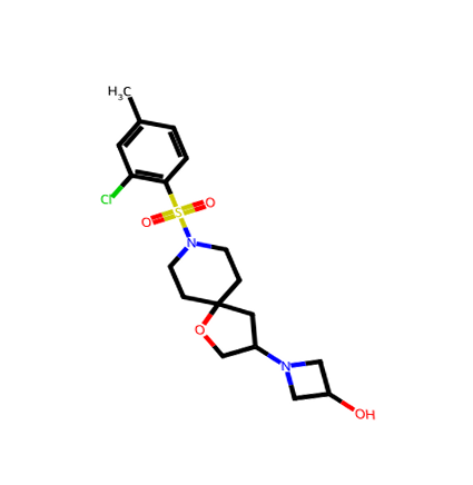 Cc1ccc(S(=O)(=O)N2CCC3(CC2)CC(N2CC(O)C2)CO3)c(Cl)c1